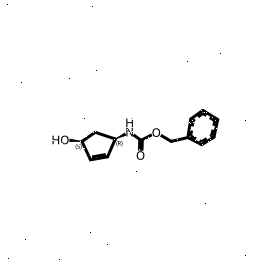 O=C(N[C@H]1C=C[C@@H](O)C1)OCc1ccccc1